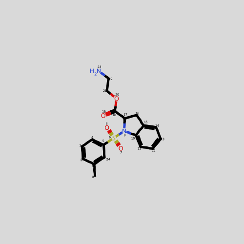 Cc1[c]ccc(S(=O)(=O)N2c3ccccc3CC2C(=O)OCCN)c1